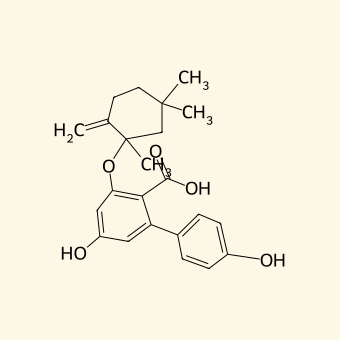 C=C1CCC(C)(C)CC1(C)Oc1cc(O)cc(-c2ccc(O)cc2)c1C(=O)O